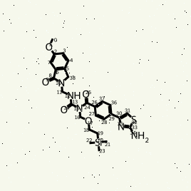 COc1ccc2c(c1)C(=O)N(CNC(=O)N(COCC[Si](C)(C)C)C(=O)c1ccc(-c3csc(N)n3)cc1)C2